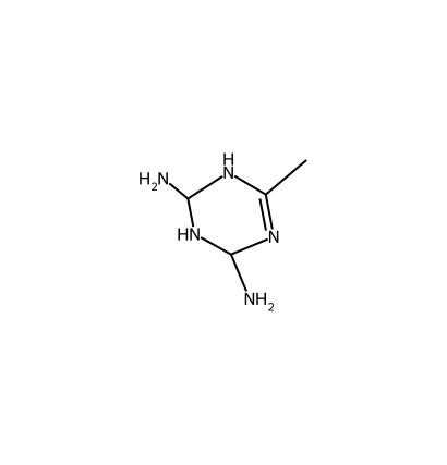 CC1=NC(N)NC(N)N1